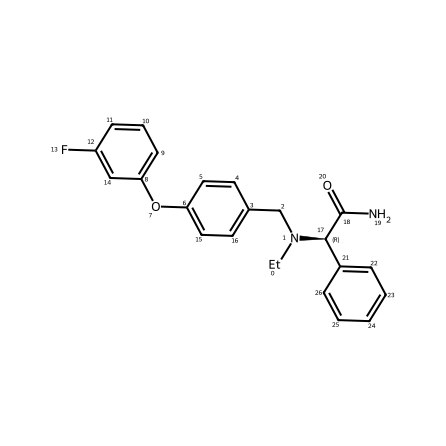 CCN(Cc1ccc(Oc2cccc(F)c2)cc1)[C@@H](C(N)=O)c1ccccc1